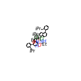 CCC(=O)N[B](NC(=O)CC)[Hf]([Cl])([Cl])([CH]1C(C(C)C)=Cc2c(-c3ccccc3CC(C)C)cccc21)[CH]1C(C(C)C)=Cc2c(-c3ccccc3CC(C)C)cccc21